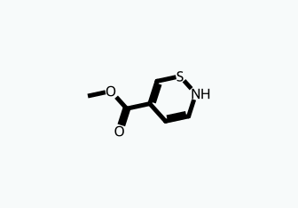 COC(=O)C1=CSNC=C1